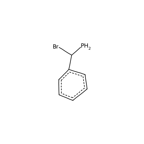 PC(Br)c1ccccc1